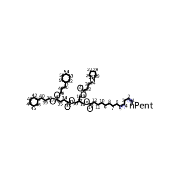 CCCCC/C=C\C/C=C\CCCCCCCC(=O)OCC(COC(=O)CCCN1CCCC1)COC(=O)CCC(OCCCC1CCCCC1)OCCCC1CCCCC1